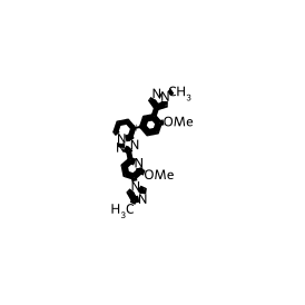 COc1ccc([C@@H]2CCCn3nc(-c4ccc(-n5cnc(C)c5)c(OC)n4)nc32)cc1-c1cnn(C)c1